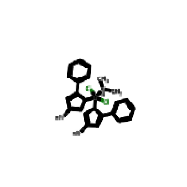 CCCC1=C[CH]([Ti]([Cl])([Cl])([CH]2C=C(CCC)C=C2c2ccccc2)[SiH](C)C)C(c2ccccc2)=C1